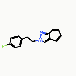 Fc1ccc(CCn2cc3c[c]ccc3n2)cc1